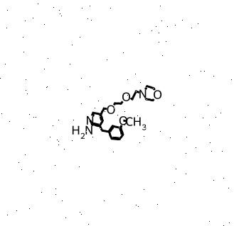 COc1cccc(Cc2cc(COCCOCCN3CCOCC3)cnc2N)c1